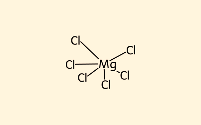 [Cl][Mg]([Cl])([Cl])([Cl])([Cl])[Cl]